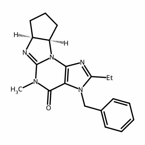 CCc1nc2c(n1Cc1ccccc1)C(=O)N(C)C1=N[C@H]3CCC[C@H]3N12